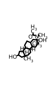 CC(=O)N(C)C1(O)CC[C@@]2(C)C(CC[C@@H]3[C@H]2CC[C@]2(C)CC(O)C[C@@H]32)C1